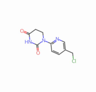 O=C1CCN(c2ccc(CCl)cn2)C(=O)N1